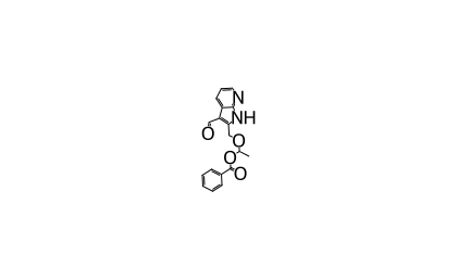 CC(OCc1[nH]c2ncccc2c1C=O)OC(=O)c1ccccc1